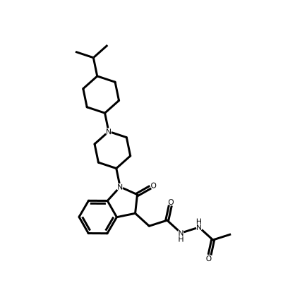 CC(=O)NNC(=O)CC1C(=O)N(C2CCN(C3CCC(C(C)C)CC3)CC2)c2ccccc21